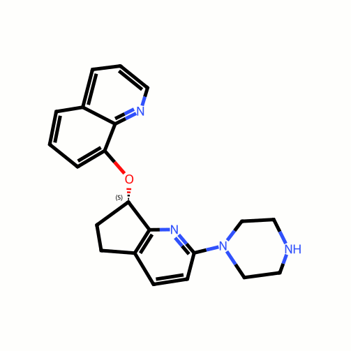 c1cnc2c(O[C@H]3CCc4ccc(N5CCNCC5)nc43)cccc2c1